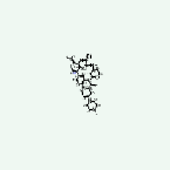 CCc1nc(C=C(C)C)c(/C(=C\I)c2ccc(N3CCC(N4CCN(C)CC4)CC3)c(OC(F)F)c2)nc1NC1CCOCC1